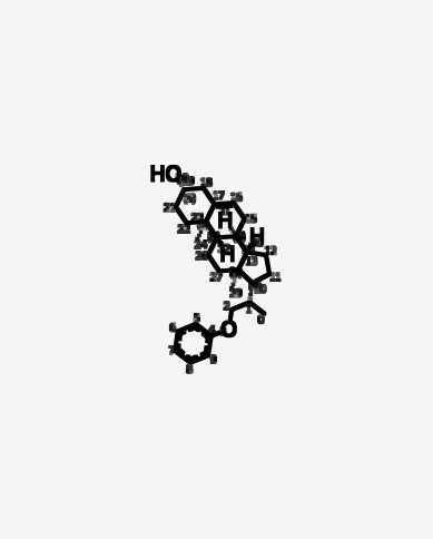 CC(COc1ccccc1)[C@H]1CC[C@H]2[C@@H]3CC=C4C[C@@H](O)CC[C@]4(C)[C@H]3CC[C@]12C